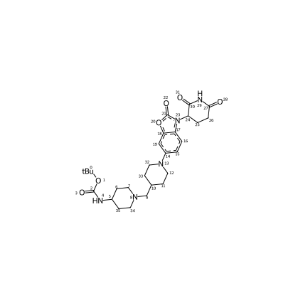 CC(C)(C)OC(=O)NC1CCN(CC2CCN(c3ccc4c(c3)oc(=O)n4C3CCC(=O)NC3=O)CC2)CC1